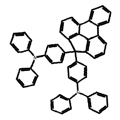 c1ccc(N(c2ccccc2)c2ccc(C3(c4ccc(N(c5ccccc5)c5ccccc5)cc4)c4cccc5c6ccccc6c6cccc3c6c45)cc2)cc1